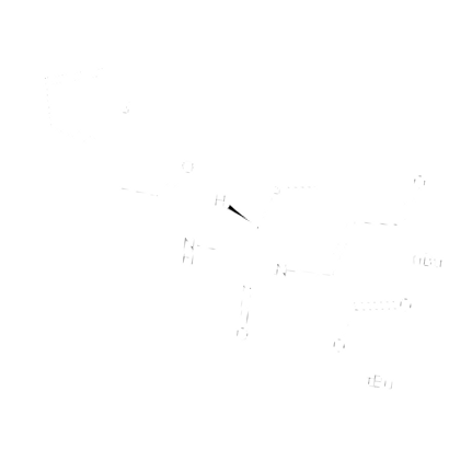 CCCCC(=O)C1=C(C(=O)OC(C)(C)C)N2C(=O)C(NC(=O)Cc3cccs3)[C@@H]2SC1